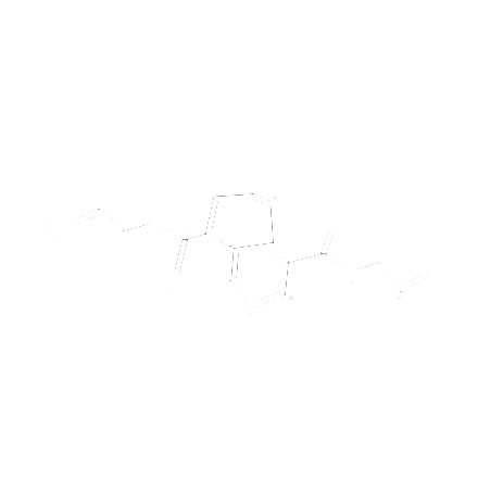 C=CCOC(=O)c1cccc2c(C(=O)OCC=C)cccc12